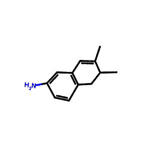 CC1=Cc2cc(N)ccc2CC1C